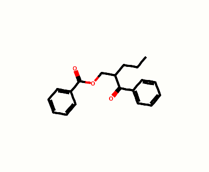 CCCC(COC(=O)c1ccccc1)C(=O)c1ccccc1